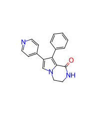 O=C1NCCn2cc(-c3ccncc3)c(-c3ccccc3)c21